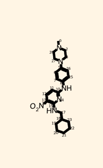 CN1CCN(c2ccc(Nc3ccc([N+](=O)[O-])c(NCC4CCCCC4)n3)cc2)CC1